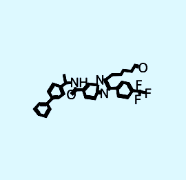 CC(NC(=O)c1ccc2nc(-c3ccc(C(F)(F)F)cc3)c(CCCCC=O)nc2c1)c1ccc(-c2ccccc2)cc1